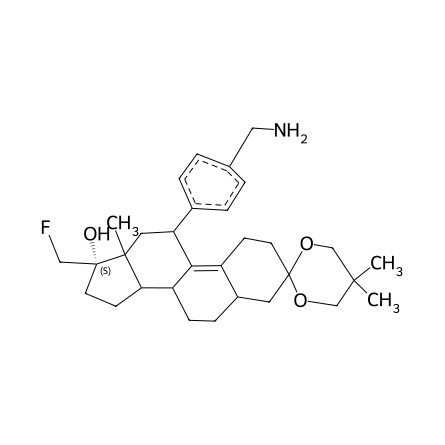 CC1(C)COC2(CCC3=C4C(c5ccc(CN)cc5)CC5(C)C(CC[C@@]5(O)CF)C4CCC3C2)OC1